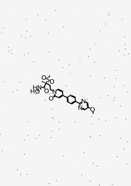 COc1cnc(-c2ccc(-c3ccn(CC[C@](C)(C(=O)NO)S(C)(=O)=O)c(=O)c3)cc2)nc1